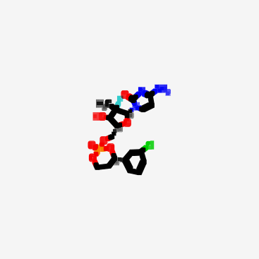 CC1(F)C(O)[C@@H](COP2(=O)OCC[C@@H](c3cccc(Cl)c3)O2)O[C@H]1n1ccc(N)nc1=O